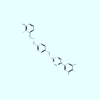 Oc1c(Cl)cc(-c2cnc(OCc3ccc(CNCc4cccc(Cl)c4Cl)cc3)nn2)cc1Cl